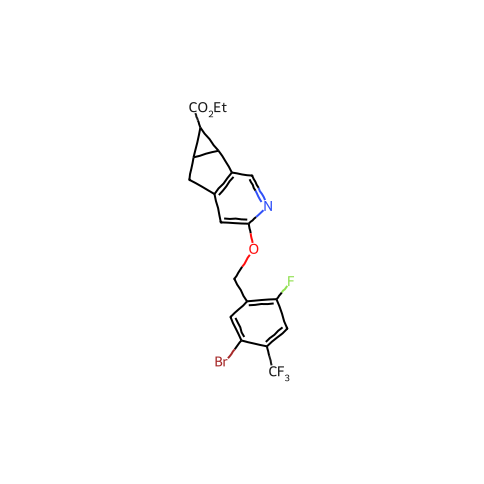 CCOC(=O)C1C2Cc3cc(OCc4cc(Br)c(C(F)(F)F)cc4F)ncc3C21